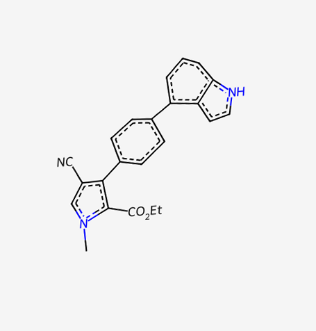 CCOC(=O)c1c(-c2ccc(-c3cccc4[nH]ccc34)cc2)c(C#N)cn1C